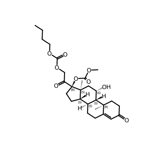 CCCCOC(=O)OCC(=O)[C@@]1(OC(=O)OC)CC[C@H]2[C@@H]3CCC4=CC(=O)CC[C@]4(C)[C@H]3[C@@H](O)C[C@@]21C